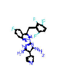 Nc1nc(-n2nc(Cc3c(F)ccc(F)c3F)c3cc(F)ccc32)nc(N)c1-c1ccncc1